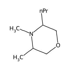 CCCC1COCC(C)N1C